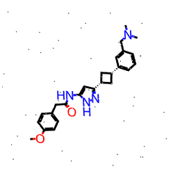 COc1ccc(CC(=O)Nc2cc([C@H]3C[C@@H](c4cccc(CN(C)C)c4)C3)n[nH]2)cc1